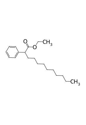 CCCCCCCCCCC(C(=O)OCC)c1ccccc1